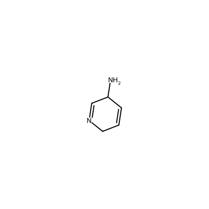 NC1C=CCN=C1